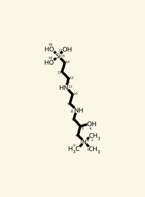 C[N+](C)(C)CC(O)CNCCNCCC[Si](O)(O)O